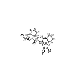 COCCC1(CCOC)c2ccccc2-c2ccc(C(=O)/C(=N/OC=O)c3ccccc3C)cc21